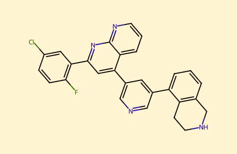 Fc1ccc(Cl)cc1-c1cc(-c2cncc(-c3cccc4c3CCNC4)c2)c2cccnc2n1